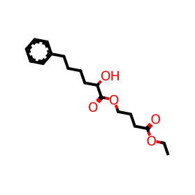 CCOC(=O)CCCOC(=O)C(O)CCCCc1ccccc1